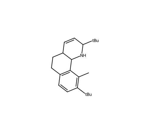 Cc1c(C(C)(C)C)ccc2c1C1NC(C(C)(C)C)C=CC1CC2